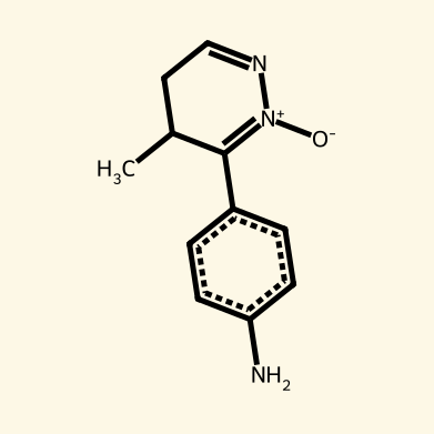 CC1CC=N[N+]([O-])=C1c1ccc(N)cc1